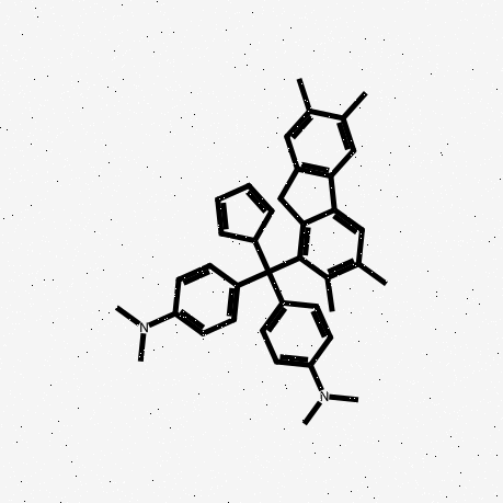 Cc1cc2c(cc1C)-c1cc(C)c(C)c(C(c3ccc(N(C)C)cc3)(c3ccc(N(C)C)cc3)C3C=CC=C3)c1C2